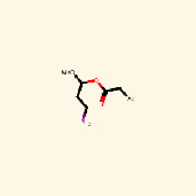 COC(CCP)OC(=O)CC(C)=O